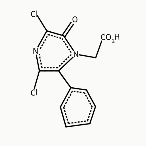 O=C(O)Cn1c(-c2ccccc2)c(Cl)nc(Cl)c1=O